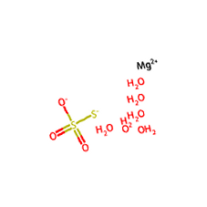 O.O.O.O.O.O.O=S(=O)([O-])[S-].[Mg+2]